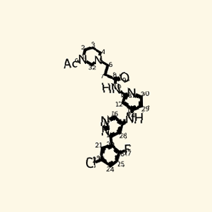 CC(=O)N1CCCN(CCC(=O)Nc2cc(Nc3cnnc(-c4cc(Cl)ccc4F)c3)ccn2)C1